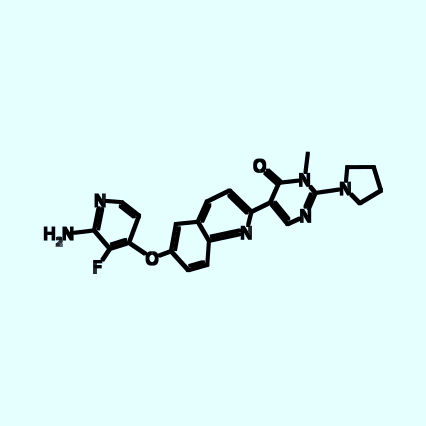 Cn1c(N2CCCC2)ncc(-c2ccc3cc(Oc4ccnc(N)c4F)ccc3n2)c1=O